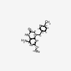 CCCCOc1nc(N)c2c(n1)N(Cc1ccc(C)nc1)CC(=O)N2